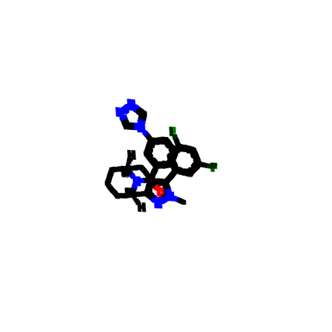 Cn1nc2c(c1-c1cc(F)cc(F)c1)C[C@@H]1CCC[C@H]2N1C(=O)c1cccc(-n2cnnc2)c1